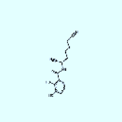 N#CCCCC[C@H](C#N)NC(=O)c1cccc(O)c1O